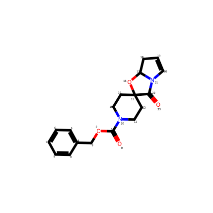 O=C(OCc1ccccc1)N1CCC2(CC1)OC1CC=CN1C2=O